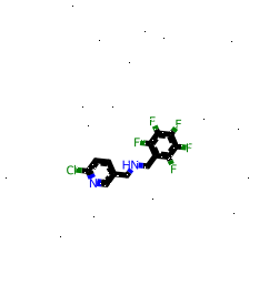 Fc1c(F)c(F)c(CNCc2ccc(Cl)nc2)c(F)c1F